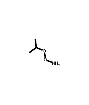 CC(C)OON